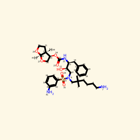 CC(C)(CCCCN)CN(C[C@@H](O)[C@H](Cc1ccccc1)NC(=O)O[C@H]1CO[C@H]2OCC[C@H]21)S(=O)(=O)c1cccc(N)c1